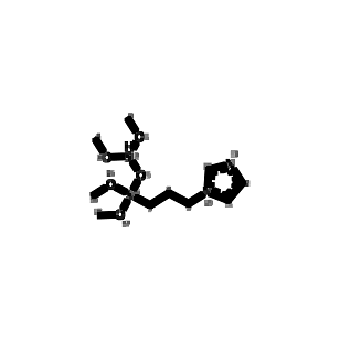 CO[SiH](OC)O[Si](CCCn1ccnc1)(OC)OC